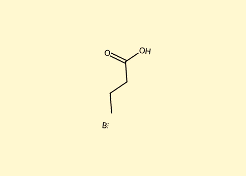 CCCC(=O)O.[B]